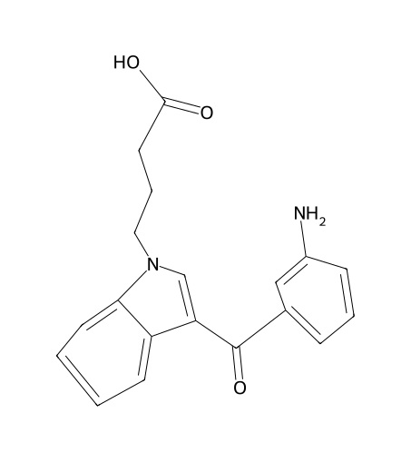 Nc1cccc(C(=O)c2cn(CCCC(=O)O)c3ccccc23)c1